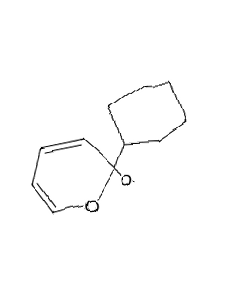 [O]C1(C2CCCCC2)C=CC=CO1